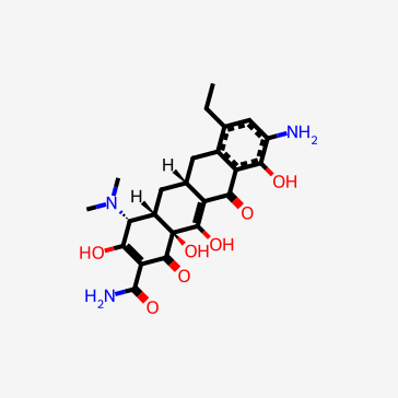 CCc1cc(N)c(O)c2c1C[C@H]1C[C@H]3[C@@H](N(C)C)C(O)=C(C(N)=O)C(=O)[C@@]3(O)C(O)=C1C2=O